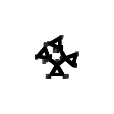 C1CN1C1(C2(N3CC3)CC2)CC1